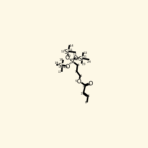 CC=CC(=O)OCCC[Si](O[Si](C)(C)C)(O[Si](C)(C)C)O[Si](C)(C)C